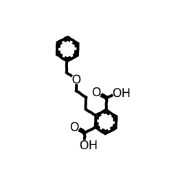 O=C(O)c1cccc(C(=O)O)c1CCCOCc1ccccc1